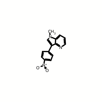 Cn1cc(-c2ccc([N+](=O)[O-])cc2)c2ncccc21